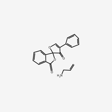 C=CCN.O=C1OC2(OC=C(c3ccccc3)C2=O)c2ccccc21